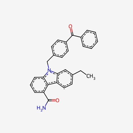 CCc1c[c]c2c3c(C(N)=O)cccc3n(Cc3ccc(C(=O)c4ccccc4)cc3)c2c1